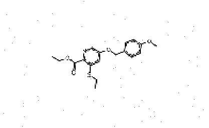 CCOC(=O)c1ncc(OCc2ccc(OC)cc2)cc1SCC